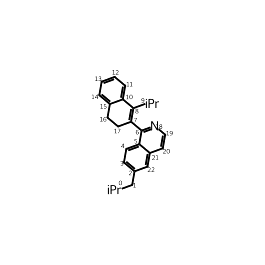 CC(C)Cc1ccc2c(C3=C(C(C)C)c4ccccc4CC3)nccc2c1